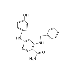 NC(=O)c1cnc(Nc2ccc(O)cc2)cc1NCc1ccccc1